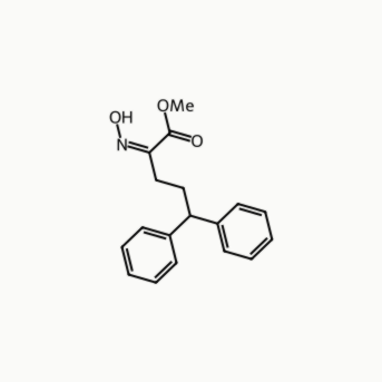 COC(=O)/C(CCC(c1ccccc1)c1ccccc1)=N\O